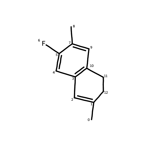 CC1=Cc2cc(F)c(C)cc2CC1